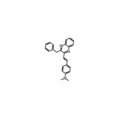 CN(C)c1ccc(C=Cc2nc3ccccc3nc2Cc2ccccc2)cc1